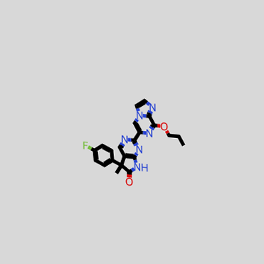 CCCOc1nc(-c2ncc3c(n2)NC(=O)C3(C)c2ccc(F)cc2)cn2ccnc12